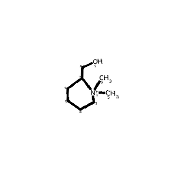 C[N+]1(C)CCCCC1CO